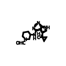 CC1(c2c[nH]c3ncnc(NC4CCCN(C=O)C4)c23)CC1